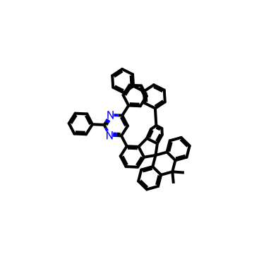 CC1(C)c2ccccc2C2(c3ccc(-c4cccc(-c5ccccc5)c4)cc3-c3c(-c4cc(-c5ccccc5)nc(-c5ccccc5)n4)cccc32)c2ccccc21